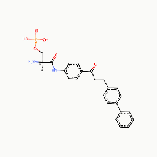 C[C@](N)(CO[PH](O)(O)O)C(=O)Nc1ccc(C(=O)CCc2ccc(-c3ccccc3)cc2)cc1